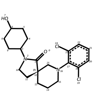 O=C1N(C2CCC(O)CC2)CC[C@@]12CCCN(c1c(Cl)cccc1Cl)C2